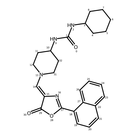 O=C(NC1CCCCC1)NC1CCN(C=C2N=C(c3cccc4ccccc34)OC2=O)CC1